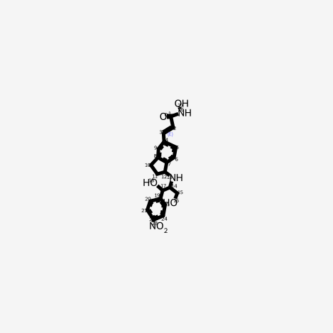 O=C(/C=C/c1ccc2c(c1)CCC2NC(CO)C(O)c1ccc([N+](=O)[O-])cc1)NO